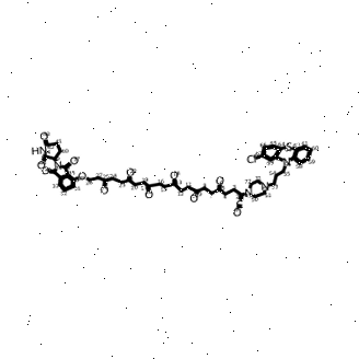 O=C=C(CCC(=O)CCC(=O)CCC(=O)CCC(=O)CCC(=O)CCC(=O)CCOc1cccc2c1C(=O)N(C1CCC(=O)NC1=O)C2=O)N1CCN(CCCN2c3ccccc3Sc3ccc(Cl)cc32)CC1